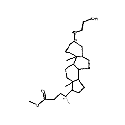 COC(=O)CC[C@@H](C)C1CCC2C3CCC4C[C@H](NCCO)CCC4(C)C3CCC21C